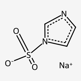 O=S(=O)([O-])n1ccnc1.[Na+]